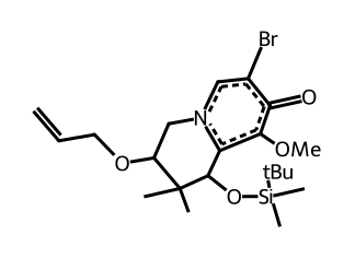 C=CCOC1Cn2cc(Br)c(=O)c(OC)c2C(O[Si](C)(C)C(C)(C)C)C1(C)C